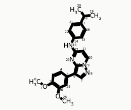 COc1ccc(-c2cnn3ccc(Nc4ccc(C(C)C)cc4)nc23)cc1OC